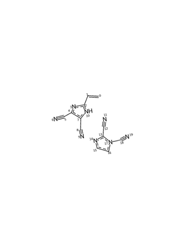 C=Cc1nc(C#N)c(C#N)[nH]1.N#Cc1nccn1C#N